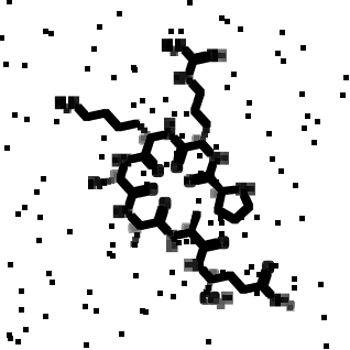 CC(C)[C@H](NC(=O)[C@H](CCCCN)NC(=O)[C@H](CCCNC(=N)N)NC(=O)[C@@H]1CCCN1)C(=O)N[C@@H](C)C(=O)N[C@@H](C)C(=O)N[C@H](CCC(N)=O)C(=O)O